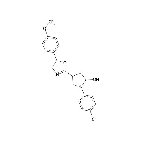 OC1CC(C2=NCC(c3ccc(OC(F)(F)F)cc3)O2)CN1c1ccc(Cl)cc1